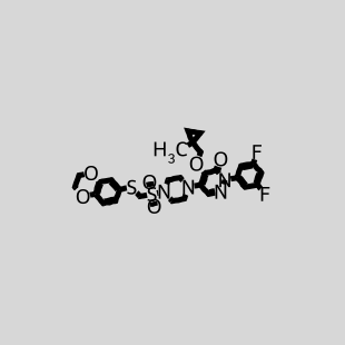 CC1(COc2c(N3CCN(S(=O)(=O)CSc4ccc5c(c4)OCCO5)CC3)cnn(-c3cc(F)cc(F)c3)c2=O)CC1